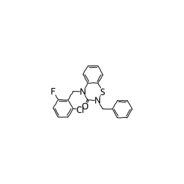 O=C1N(Cc2ccccc2)Sc2ccccc2N1Cc1c(F)cccc1Cl